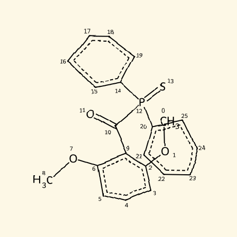 COc1cccc(OC)c1C(=O)P(=S)(c1ccccc1)c1ccccc1